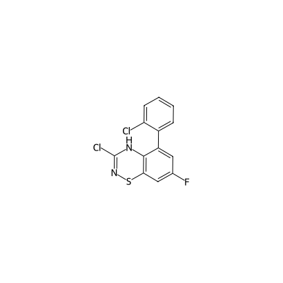 Fc1cc2c(c(-c3ccccc3Cl)c1)NC(Cl)=NS2